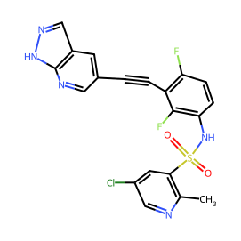 Cc1ncc(Cl)cc1S(=O)(=O)Nc1ccc(F)c(C#Cc2cnc3[nH]ncc3c2)c1F